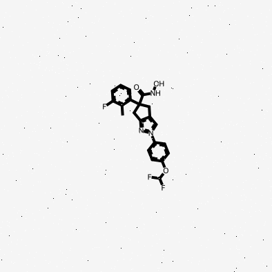 Cc1c(F)cccc1C1(C(=O)NO)Cc2cn(-c3ccc(OC(F)F)cc3)nc2C1